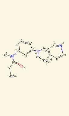 CC(=O)OCC(=O)N(C(C)=O)c1cccc(N(CC(=O)O)Cc2cccnc2)c1